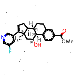 COC(=O)c1ccc2c(c1)CC[C@@H]1[C@@H]2[C@H](O)C[C@]2(C)C(c3cncc(F)c3)=CC[C@@H]12